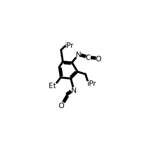 CCc1cc(CC(C)C)c(N=C=O)c(CC(C)C)c1N=C=O